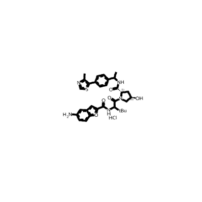 Cc1ncsc1-c1ccc(C(C)NC(=O)[C@@H]2C[C@@H](O)CN2C(=O)C(NC(=O)c2cc3cc(N)ccc3o2)C(C)(C)C)cc1.Cl